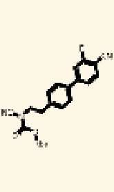 CC(C)(C)OC(=O)N(C#N)CCc1ccc(-c2ccc(C#N)c(F)c2)cc1